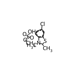 CC1Sc2cc(Cl)ccc2N1C.COS(=O)(=O)O